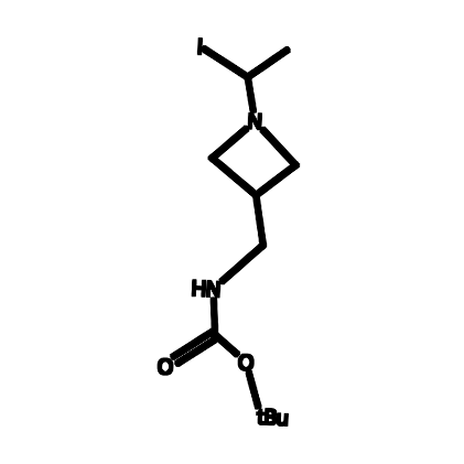 CC(I)N1CC(CNC(=O)OC(C)(C)C)C1